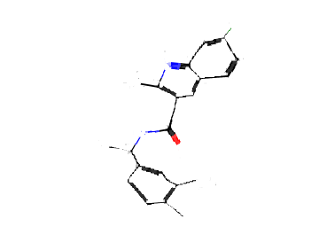 Cc1ccc([C@@H](C)NC(=O)c2cc3ccc(Cl)cc3nc2C)cc1C